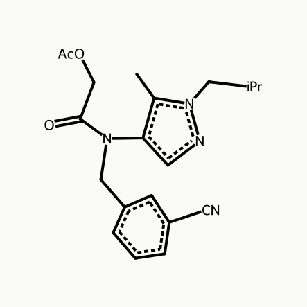 CC(=O)OCC(=O)N(Cc1cccc(C#N)c1)c1cnn(CC(C)C)c1C